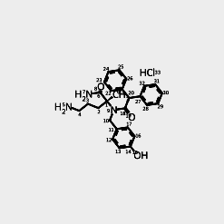 C[C@@](CCCN)(C(N)=O)N(Cc1ccc(O)cc1)C(=O)C(c1ccccc1)c1ccccc1.Cl